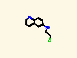 ClCCNc1ccc2ncccc2c1